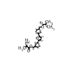 C=C(C)C(=O)OCC1CSC(c2ccc(C3SCC(COC(=O)C(=C)C)S3)o2)S1